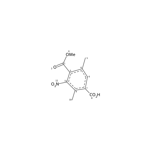 COC(=O)c1c(C)cc(C(=O)O)c(C)c1[N+](=O)[O-]